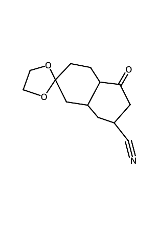 N#CC1CC(=O)C2CCC3(CC2C1)OCCO3